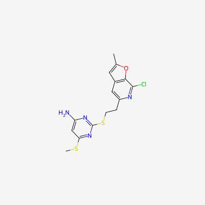 CSc1cc(N)nc(SCCc2cc3cc(C)oc3c(Cl)n2)n1